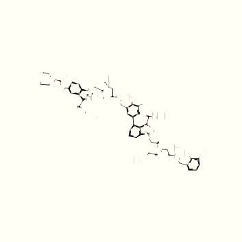 CC(C)N(CC(=O)NCc1cc(-c2cccc3c2c(C(N)=O)nn3CC(=O)N(CC(=O)NCc2cccc(Cl)c2F)[C@H](C)CO)cc(Cl)c1F)C(=O)Cn1nc(C(N)=O)c2cc(NC(=O)N3CCOCC3)ccc21